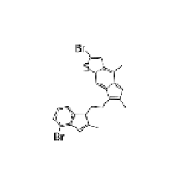 CC1=Cc2c(Br)cccc2C1CCC1=C(C)C=C2C1=CC1SC(Br)=CC1=C2C